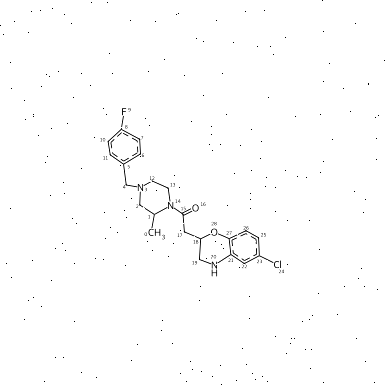 CC1CN(Cc2ccc(F)cc2)CCN1C(=O)CC1CNc2cc(Cl)ccc2O1